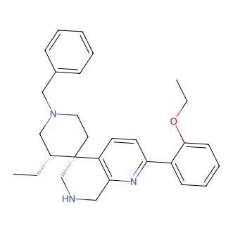 CCOc1ccccc1-c1ccc2c(n1)CNC[C@]21CCN(Cc2ccccc2)C[C@H]1CC